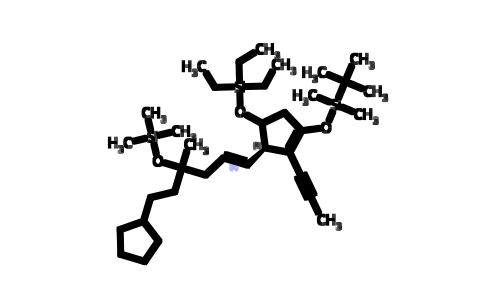 CC#CC1=C(O[Si](C)(C)C(C)(C)C)CC(O[Si](CC)(CC)CC)[C@@H]1/C=C/CC(C)(CCC1CCCC1)O[Si](C)(C)C